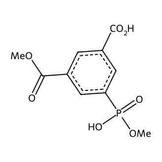 COC(=O)c1cc(C(=O)O)cc(P(=O)(O)OC)c1